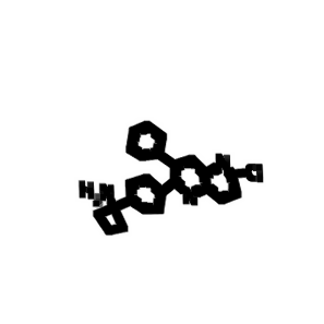 NC1(c2ccc(-c3nc4ccc(Cl)nc4cc3-c3ccccc3)cc2)CCC1